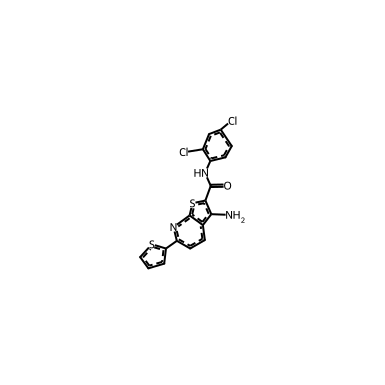 Nc1c(C(=O)Nc2ccc(Cl)cc2Cl)sc2nc(-c3cccs3)ccc12